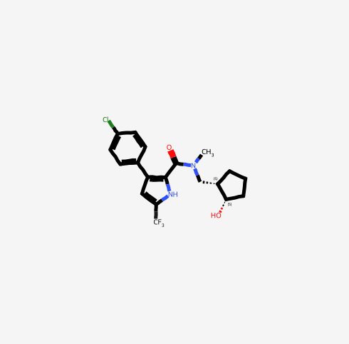 CN(C[C@@H]1CCC[C@@H]1O)C(=O)c1[nH]c(C(F)(F)F)cc1-c1ccc(Cl)cc1